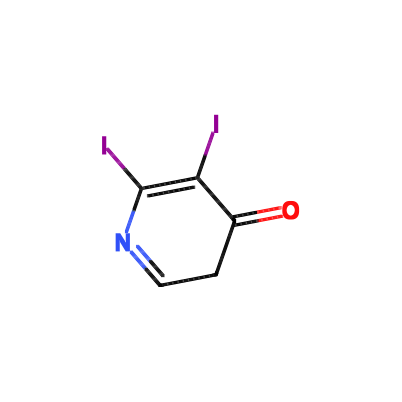 O=C1CC=NC(I)=C1I